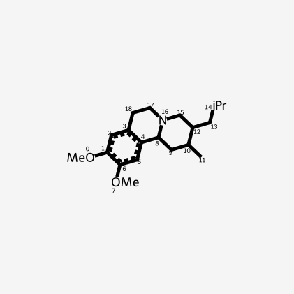 COc1cc2c(cc1OC)C1CC(C)C(CC(C)C)CN1CC2